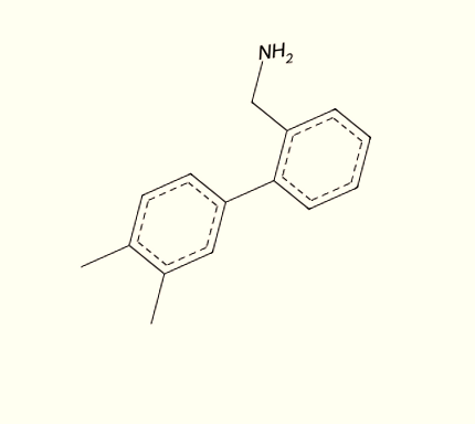 Cc1ccc(-c2ccccc2CN)cc1C